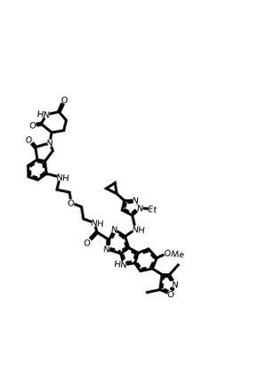 CCn1nc(C2CC2)cc1Nc1nc(C(=O)NCCOCCNc2cccc3c2CN(C2CCC(=O)NC2=O)C3=O)nc2[nH]c3cc(-c4c(C)noc4C)c(OC)cc3c12